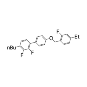 CCCCc1ccc(-c2ccc(OCc3ccc(CC)cc3F)cc2)c(F)c1F